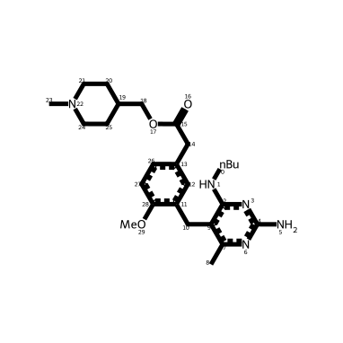 CCCCNc1nc(N)nc(C)c1Cc1cc(CC(=O)OCC2CCN(C)CC2)ccc1OC